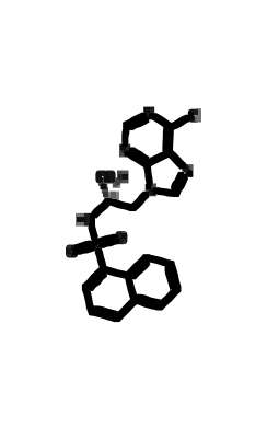 O=C(O)[C@H](Cn1cnc2c(Cl)ncnc21)NS(=O)(=O)c1cccc2ccccc12